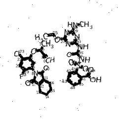 C#CC(C)Oc1cc(N2C(=O)C3=C(CCCC3)C2=O)c(F)cc1Cl.CCOc1nc(NC)nc(NC(=O)NS(=O)(=O)c2ccccc2C(=O)O)n1